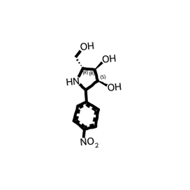 O=[N+]([O-])c1ccc(C2N[C@H](CO)[C@@H](O)[C@H]2O)cc1